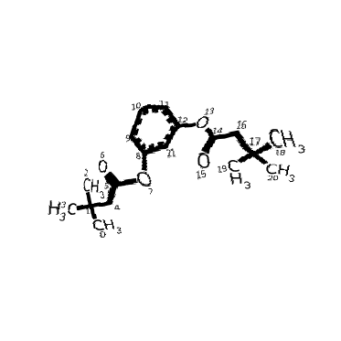 CC(C)(C)CC(=O)Oc1cccc(OC(=O)CC(C)(C)C)c1